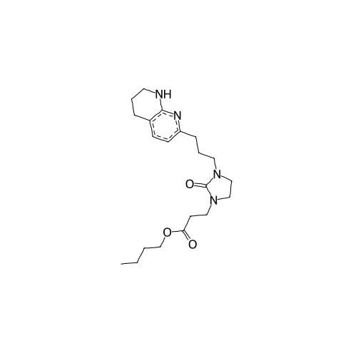 CCCCOC(=O)CCN1CCN(CCCc2ccc3c(n2)NCCC3)C1=O